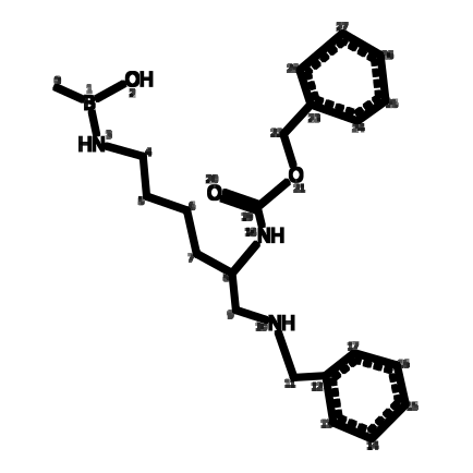 CB(O)NCCCCC(CNCc1ccccc1)NC(=O)OCc1ccccc1